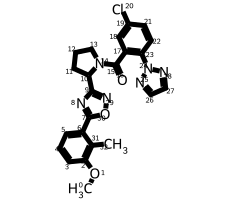 COc1cccc(-c2nc(C3CCCN3C(=O)c3cc(Cl)ccc3-n3nccn3)no2)c1C